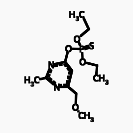 CCOP(=S)(OCC)Oc1cc(COC)nc(C)n1